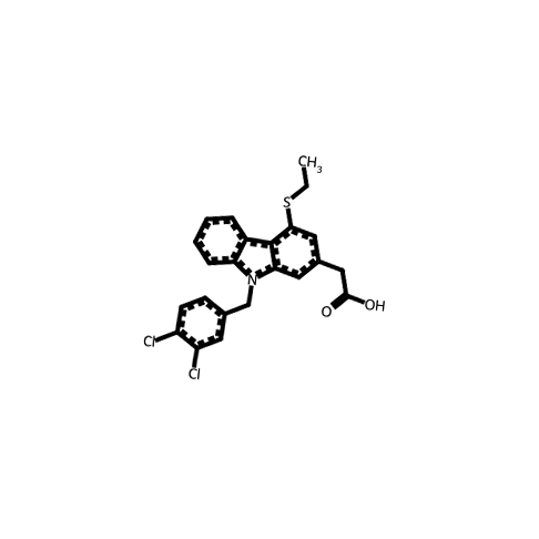 CCSc1cc(CC(=O)O)cc2c1c1ccccc1n2Cc1ccc(Cl)c(Cl)c1